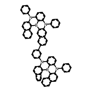 c1ccc(N2c3cc4ccc(-c5cccc(N6c7cccc8c7B(c7c(ccc9ccccc79)N8c7ccccc7)c7c6ccc6ccccc76)c5)cc4cc3B3c4c2cccc4N(c2ccccc2)c2ccc4ccccc4c23)cc1